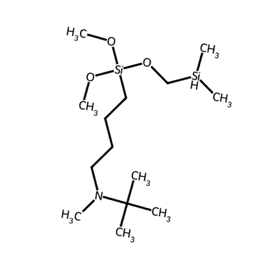 CO[Si](CCCCN(C)C(C)(C)C)(OC)OC[SiH](C)C